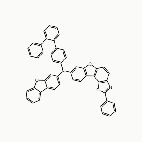 c1ccc(-c2nc3ccc4oc5cc(N(c6ccc(-c7ccccc7-c7ccccc7)cc6)c6ccc7c(c6)oc6ccccc67)ccc5c4c3o2)cc1